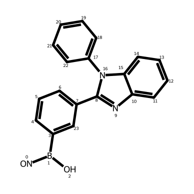 O=NB(O)c1cccc(-c2nc3ccccc3n2-c2ccccc2)c1